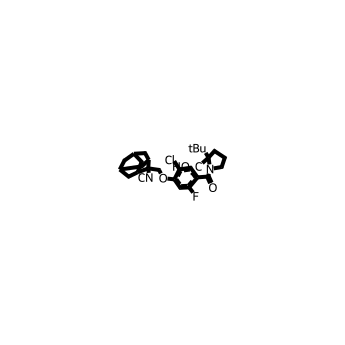 CC(C)(C)C1(C(=O)O)CCCN1C(=O)c1cc(Cl)c(OCC2(C#N)C3CC4CC(C3)CC2C4)cc1F